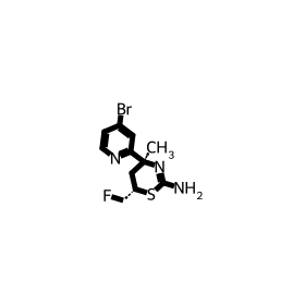 C[C@@]1(c2cc(Br)ccn2)C[C@@H](CF)SC(N)=N1